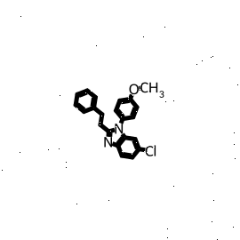 COc1ccc(-n2c(CCc3ccccc3)nc3ccc(Cl)cc32)cc1